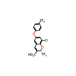 O=C(O)C1=Cc2cc(Oc3ccc(C(F)(F)F)cc3)cc(Cl)c2O[C@@H]1C(F)(F)F